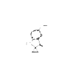 COc1ccc2c(c1)C(=O)C1(CC1)N2